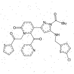 CC(C)(C)C(=O)n1nc(-c2ccc(=O)n(CC(=O)c3cccs3)c2C(=O)c2ccccn2)cc1NCc1ccc(Cl)s1